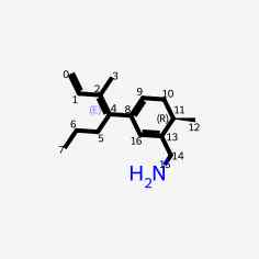 C=C/C(C)=C(\CCC)C1=CC[C@@H](C)C(CN)=C1